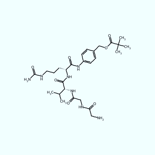 CC(C)[C@@H](NC(=O)CNC(=O)CN)C(=O)N[C@H](CCCNC(N)=O)C(=O)Nc1ccc(COC(=O)C(C)(C)C)cc1